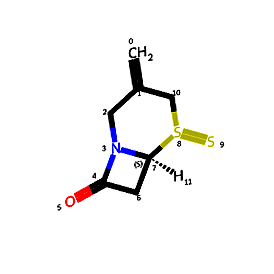 C=C1CN2C(=O)C[C@@H]2S(=S)C1